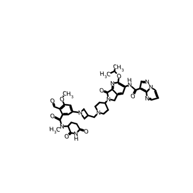 COc1cc(N2CC(CN3CCC(N4Cc5cc(NC(=O)c6cnn7cccnc67)c(OC(C)C)nc5C4=O)CC3)C2)cc(C(=O)N(C)C2CCC(=O)NC2=O)c1C=O